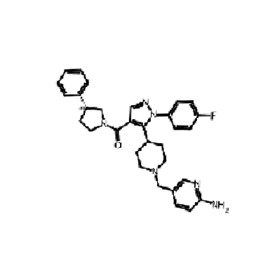 Nc1ccc(CN2CCC(c3c(C(=O)N4CC[C@H](c5ccccc5)C4)cnn3-c3ccc(F)cc3)CC2)cn1